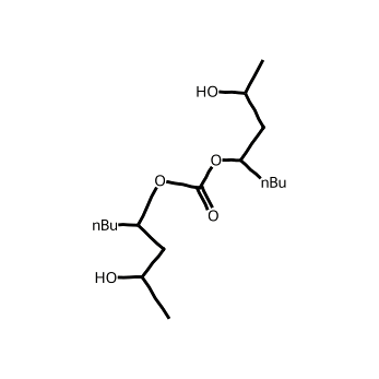 CCCCC(CC(C)O)OC(=O)OC(CCCC)CC(C)O